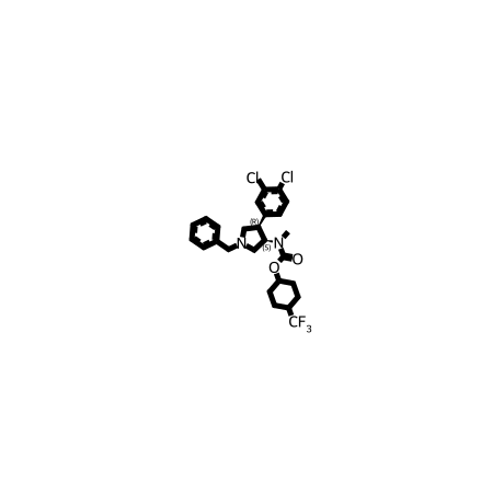 CN(C(=O)OC1CCC(C(F)(F)F)CC1)[C@@H]1CN(Cc2ccccc2)C[C@H]1c1ccc(Cl)c(Cl)c1